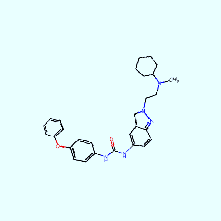 CN(CCn1cc2cc(NC(=O)Nc3ccc(Oc4ccccc4)cc3)ccc2n1)C1CCCCC1